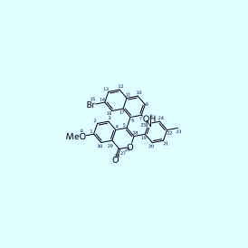 COc1ccc2c(-c3c(O)ccc4ccc(Br)cc34)c(-c3ccc(C)cn3)oc(=O)c2c1